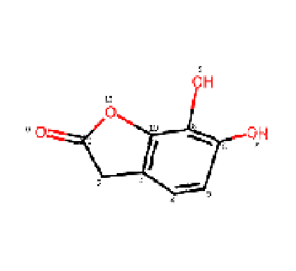 O=C1Cc2ccc(O)c(O)c2O1